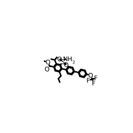 CCCc1cc(C(=O)OC)c(C(C)C)c(S(N)(=O)=O)c1-c1ccc(-c2ccc(OC(F)(F)F)cc2)cc1